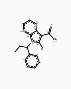 CCC(c1ccccc1)n1c(C)c(C(=O)O)c2cccnc21